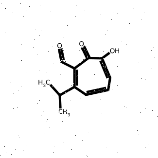 CC(C)c1cccc(O)c(=O)c1C=O